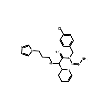 C=C(C(NCCCn1ccnc1)[C@@H]1CCC=CO1)N(Cc1ccc(Cl)cc1)/N=N\N